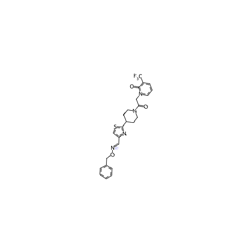 O=C(Cn1cccc(C(F)(F)F)c1=O)N1CCC(c2nc(/C=N/OCc3ccccc3)cs2)CC1